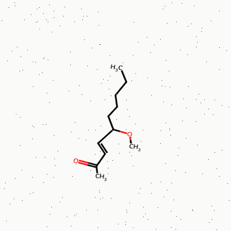 CCCCCC(C=CC(C)=O)OC